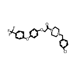 O=C(COc1ccc(Oc2ccc(C(F)(F)F)cc2)cc1)N1CCN(Cc2ccc(Cl)cc2)CC1